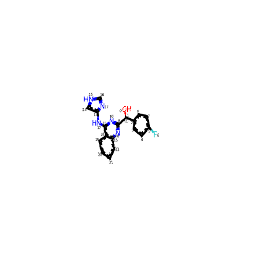 O[C@@H](c1ccc(F)cc1)c1nc(Nc2c[nH]cn2)c2ccccc2n1